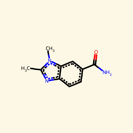 Cc1nc2ccc(C(N)=O)cc2n1C